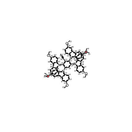 COc1ccc2c(c1)c1cc(OC)ccc1n2-c1cc(-n2c3ccc(OC)cc3c3cc(OC)ccc32)c(-n2c3ccc(OC)cc3c3cc(OC)ccc32)c(C#N)c1-n1c2ccc(OC)cc2c2cc(OC)ccc21